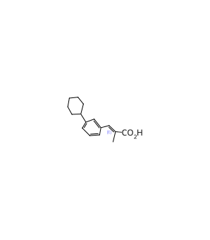 C/C(=C\c1cccc(C2CCCCC2)c1)C(=O)O